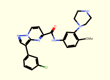 COc1ccc(NC(=O)c2ccn3ncc(-c4cccc(Cl)c4)c3n2)cc1N1CCNCC1